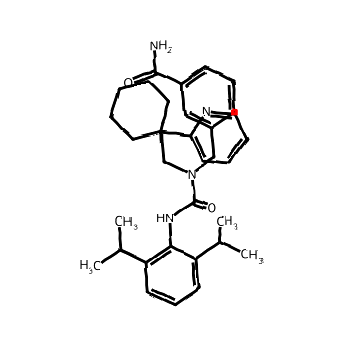 CC(C)c1cccc(C(C)C)c1NC(=O)N(Cc1cccc(C(N)=O)c1)CC1(c2ccccn2)CCCCC1